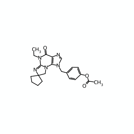 CCN1C(=O)c2ncn(Cc3ccc(OC(C)=O)cc3)c2N2CC3(CCCC3)N=C12